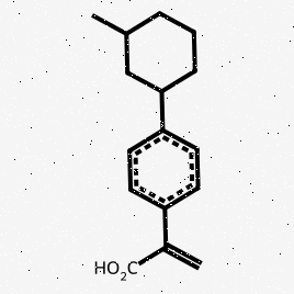 C=C(C(=O)O)c1ccc(C2CCCC(C)C2)cc1